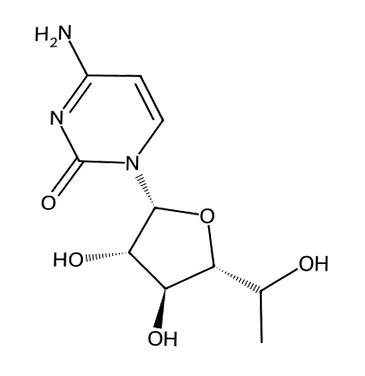 CC(O)[C@H]1O[C@@H](n2ccc(N)nc2=O)[C@@H](O)[C@@H]1O